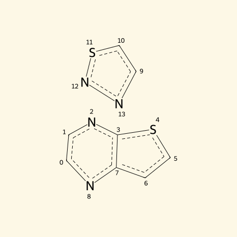 c1cnc2sccc2n1.c1csnn1